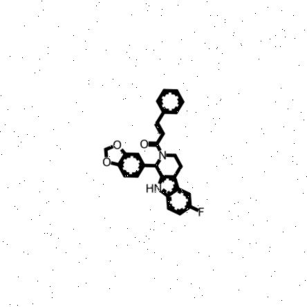 O=C(/C=C/c1ccccc1)N1CCc2c([nH]c3ccc(F)cc23)C1c1ccc2c(c1)OCO2